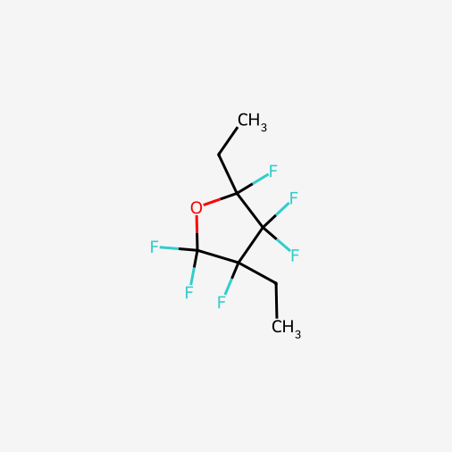 CCC1(F)OC(F)(F)C(F)(CC)C1(F)F